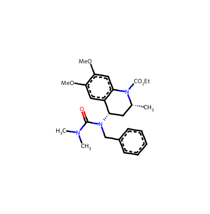 CCOC(=O)N1c2cc(OC)c(OC)cc2[C@@H](N(Cc2ccccc2)C(=O)N(C)C)C[C@H]1C